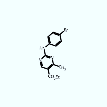 CCOC(=O)c1cnc(Nc2ccc(Br)cc2)nc1C